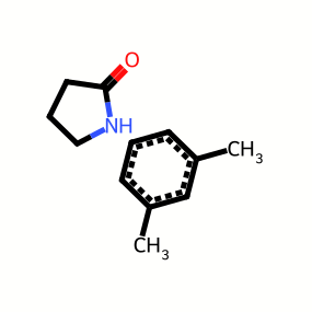 Cc1cccc(C)c1.O=C1CCCN1